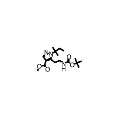 CCC(C)(C)n1ncc(C(=O)OC)c1CCNC(=O)OC(C)(C)C